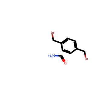 BrCc1ccc(CBr)cc1.NC=O